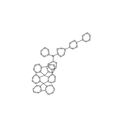 c1ccc(-c2ccc(-c3ccc(N(c4ccccc4)c4ccc(-c5cccc6c5C5(c7ccccc7-c7ccccc75)c5ccccc5C65c6ccccc6-c6ccccc65)cc4)cc3)cc2)cc1